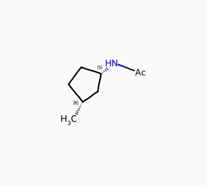 CC(=O)N[C@H]1CC[C@@H](C)C1